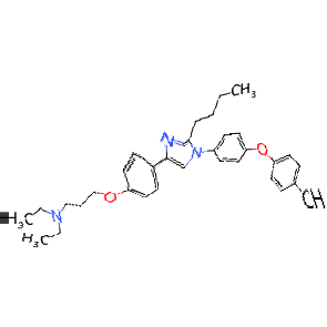 CCCCc1nc(-c2ccc(OCCCN(CC)CC)cc2)cn1-c1ccc(Oc2ccc(C)cc2)cc1